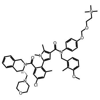 COc1cccc(CN(C(=O)c2cc(-c3c(C)cc(Cl)cc3C(=O)N3Cc4ccccc4C[C@H]3CN3CCOCC3)n(C)c2C)c2ccc(OCOCC[Si](C)(C)C)cc2)c1C